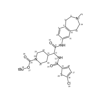 CN1CCc2ccc(NC(=O)C(NC(=O)c3ccc(Cl)s3)C3CCN(C(=O)OC(C)(C)C)CC3)cc2CC1